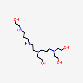 OCCNCCCNCCN(CCO)CCCN(CCO)CCO